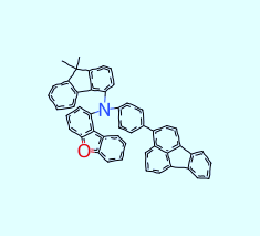 CC1(C)c2ccccc2-c2c(N(c3ccc(-c4ccc5c6c(cccc46)-c4ccccc4-5)cc3)c3cccc4oc5ccccc5c34)cccc21